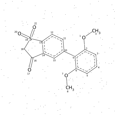 COc1cccc(OC)c1-c1ccc2c(c1)C(=O)CS2(=O)=O